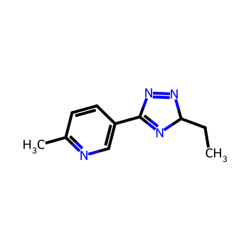 CCC1N=NC(c2ccc(C)nc2)=N1